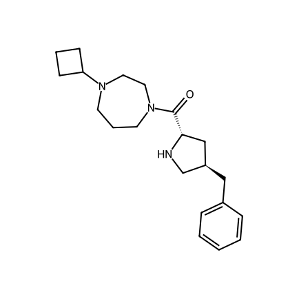 O=C([C@@H]1C[C@@H](Cc2ccccc2)CN1)N1CCCN(C2CCC2)CC1